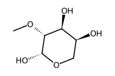 CO[C@@H]1[C@@H](O)[C@@H](O)CO[C@@H]1O